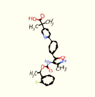 Cc1noc(-c2ccc(-c3ccc(C(C)(C)C(=O)O)cn3)cc2)c1NC(=O)OC(C)c1ccccc1F